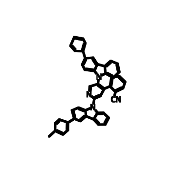 Cc1ccc(-c2ccc3c(c2)c2ccccc2n3-c2cc(-c3ccccc3C#N)c(-n3c4ccccc4c4cc(-c5ccccc5)ccc43)cn2)cc1